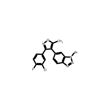 Cc1onc(-c2ccc(F)c(Cl)c2)c1-c1ccc2nnn(C(C)C)c2c1